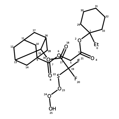 CCC1(OC(=O)COC(=O)C23CC4CC(C2)C(OC(=O)C(F)(F)SOOO)C(C4)C3)CCCCC1